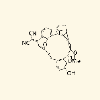 COC12OOC13C1CC4CC3CC(C1)C4c1cccc3c1OC(=CC3=C(C#N)C#N)/C=C/c1ccc(O)cc12